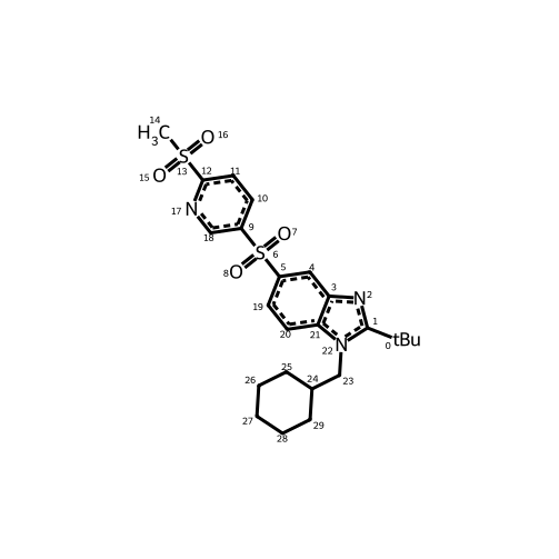 CC(C)(C)c1nc2cc(S(=O)(=O)c3ccc(S(C)(=O)=O)nc3)ccc2n1CC1CCCCC1